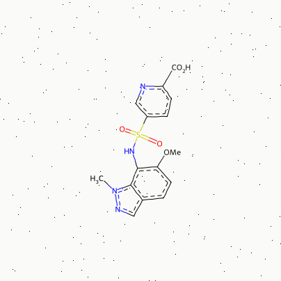 COc1ccc2cnn(C)c2c1NS(=O)(=O)c1ccc(C(=O)O)nc1